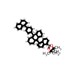 CC1(C)OB(c2cccc3c(-c4c5ccccc5c(-c5ccc(-c6cccc7ccccc67)cc5)c5ccccc45)cccc23)OC1(C)C